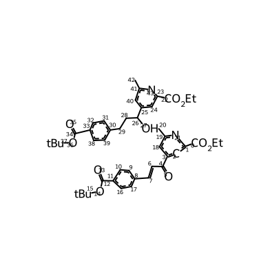 CCOC(=O)c1cc(C(=O)C=Cc2ccc(C(=O)OC(C)(C)C)cc2)cc(C)n1.CCOC(=O)c1cc(C(O)CCc2ccc(C(=O)OC(C)(C)C)cc2)cc(C)n1